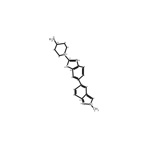 Cn1cc2cc(-c3ccc4nc(N5CCC(N)CC5)sc4c3)ccc2n1